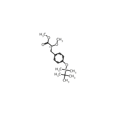 COC(=O)[C@H](Cc1ccc(O[Si](C)(C)C(C)(C)C)cc1)OC